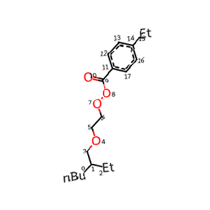 CCCCC(CC)COC[CH]OOC(=O)c1ccc(CC)cc1